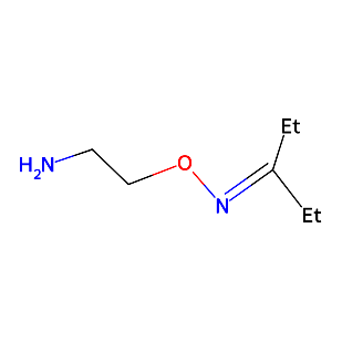 CCC(CC)=NOCCN